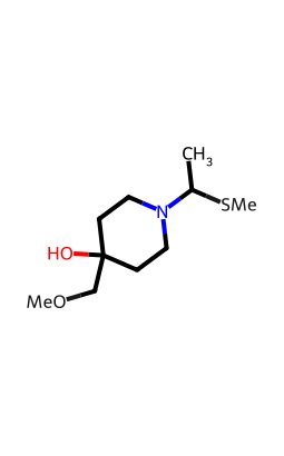 COCC1(O)CCN(C(C)SC)CC1